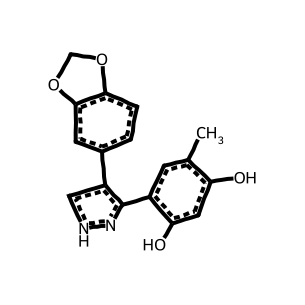 Cc1cc(-c2n[nH]cc2-c2ccc3c(c2)OCO3)c(O)cc1O